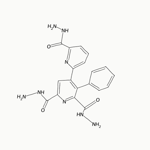 NNC(=O)c1cccc(-c2cc(C(=O)NN)nc(C(=O)NN)c2-c2ccccc2)n1